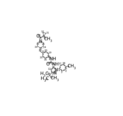 Cc1ccc(-n2nc(C(C)(C)C)cc2NC(=O)Nc2ccc(CC3CCN(C(=O)C4(C)CC4)CC3)cc2)cc1